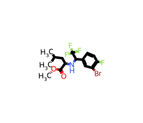 COC(=O)C(CC(C)C)NC(c1ccc(F)c(Br)c1)C(F)(F)F